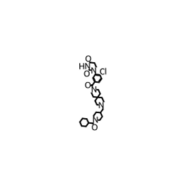 O=C1CCN(c2cc(C(=O)N3CCC4(CCN(CC5CCN(C(=O)C6CCCCC6)CC5)CC4)CC3)ccc2Cl)C(=O)N1